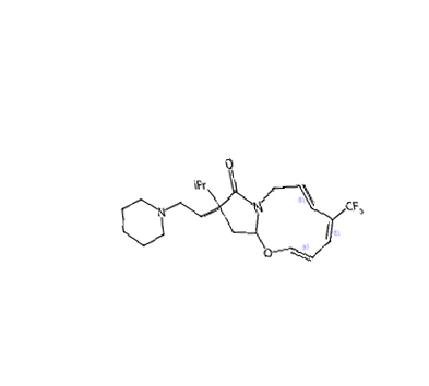 CC(C)C1(CCN2CCCCC2)CC2O/C=C/C=C(C(F)(F)F)\C=C\CN2C1=O